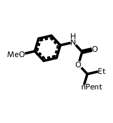 CCCCCC(CC)OC(=O)Nc1ccc(OC)cc1